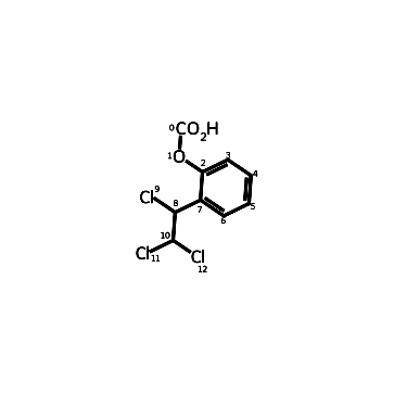 O=C(O)Oc1ccccc1C(Cl)C(Cl)Cl